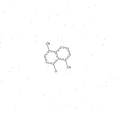 N#Cc1ccc([O])c2c(C#N)cccc12